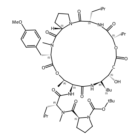 CC[C@H](C)[C@H]1NC(=O)[C@@H](NC(=O)[C@@H](CC(C)C)N(C)C(=O)[C@@H]2CCCN2C(=O)OC(C)(C)C)[C@@H](C)OC(=O)[C@H](Cc2ccc(OC)cc2)N(C)C(=O)[C@@H]2CCCN2C(=O)[C@H](CC(C)C)NC(=O)[C@H](C(C)C)OC(=O)C[C@@H]1O